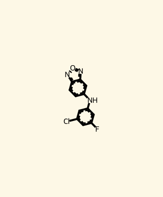 Fc1cc(Cl)cc(Nc2ccc3nonc3c2)c1